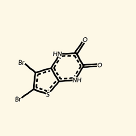 O=c1[nH]c2sc(Br)c(Br)c2[nH]c1=O